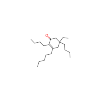 CCCCCC1=C(CCCC)C(=O)CC(CC)(CCCC)C1